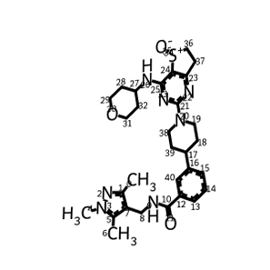 Cc1nn(C)c(C)c1CNC(=O)c1cccc(C2CCN(c3nc4c(c(NC5CCOCC5)n3)[S+]([O-])CC4)CC2)c1